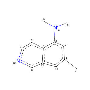 Cc1cc(N(C)C)c2ccncc2c1